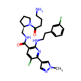 Cn1cc(-c2nc(NCCc3cccc(F)c3)c(C(=O)NC[C@H]3CCCN3C(=O)CCCN)cc2F)cn1